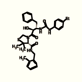 CCc1ccc(NC(=O)N[C@@H](Cc2ccccc2)[C@H](O)C(=O)N2CSC(C)(C)[C@H]2C(=O)NCc2ccccc2C)cc1